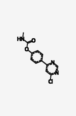 CNC(=O)Oc1ccc(-c2cc(Cl)ncn2)cc1